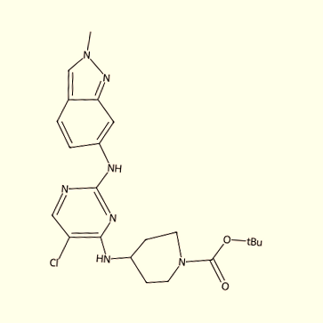 Cn1cc2ccc(Nc3ncc(Cl)c(NC4CCN(C(=O)OC(C)(C)C)CC4)n3)cc2n1